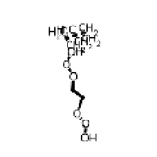 C=C.C=C.C=C.OOOCCOOO